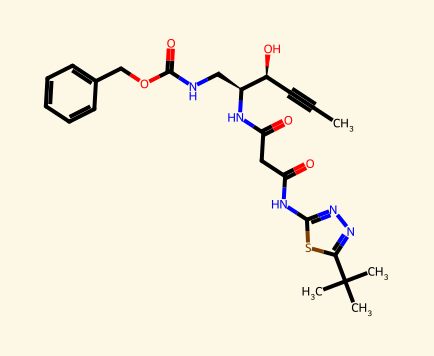 CC#C[C@H](O)[C@H](CNC(=O)OCc1ccccc1)NC(=O)CC(=O)Nc1nnc(C(C)(C)C)s1